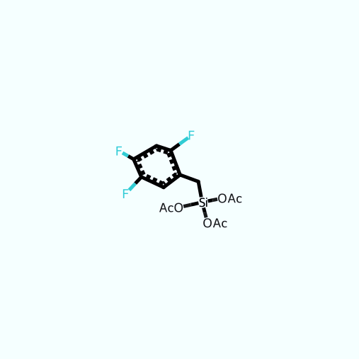 CC(=O)O[Si](Cc1cc(F)c(F)cc1F)(OC(C)=O)OC(C)=O